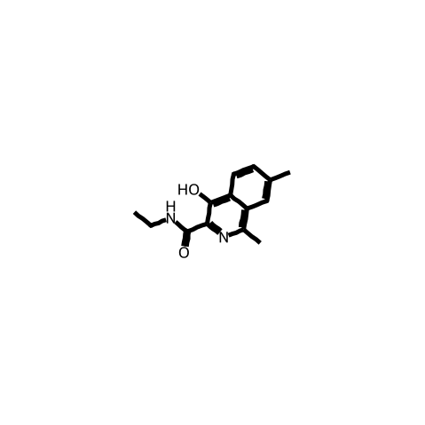 CCNC(=O)c1nc(C)c2cc(C)ccc2c1O